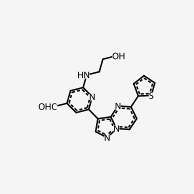 O=Cc1cc(NCCO)nc(-c2cnn3ccc(-c4cccs4)nc23)c1